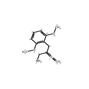 C=C=C(CN)Cc1c(OC)cccc1OC